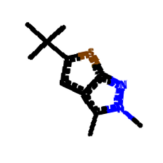 Cc1c2cc(C(C)(C)C)sc2nn1C